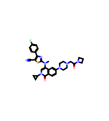 CN(c1nc(-c2ccc(F)cc2)c(C#N)s1)c1cn(C2CC2)c(=O)c2ccc(N3CCN(CC(=O)N4CCC4)CC3)cc12